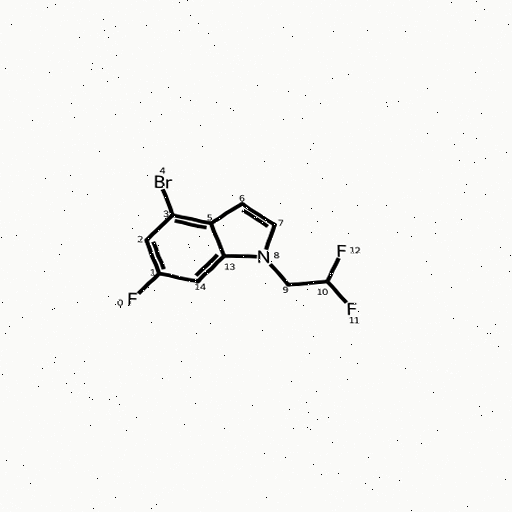 Fc1cc(Br)c2ccn(CC(F)F)c2c1